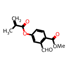 C=C(C)C(=O)Oc1ccc(C(=O)OC)c(C=O)c1